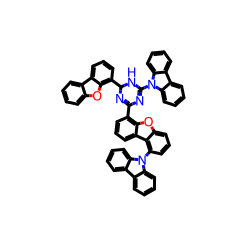 c1ccc2c(c1)oc1c(C3N=C(c4cccc5c4oc4cccc(-n6c7ccccc7c7ccccc76)c45)N=C(n4c5ccccc5c5ccccc54)N3)cccc12